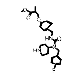 COC(=O)C(C)COc1ccc(CNC(=O)N(Cc2ccc(F)cc2)C2CCNCC2)cc1